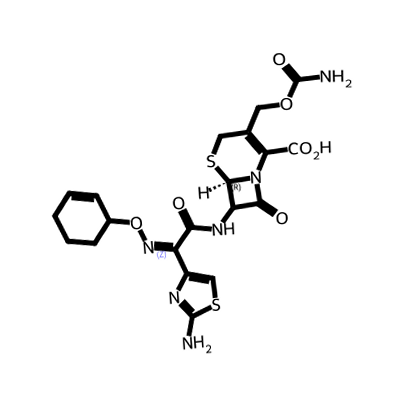 NC(=O)OCC1=C(C(=O)O)N2C(=O)C(NC(=O)/C(=N\OC3C=CCCC3)c3csc(N)n3)[C@H]2SC1